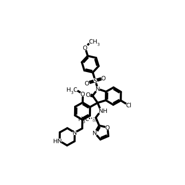 COc1ccc(S(=O)(=O)N2C(=O)C(N[C@@H](C)c3ncco3)(c3cc(CN4CCNCC4)ccc3OC)c3cc(Cl)ccc32)cc1